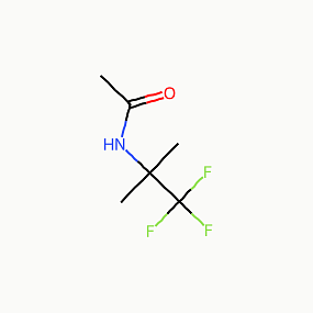 CC(=O)NC(C)(C)C(F)(F)F